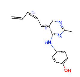 C=C/C=C\C=C1/CN=C(C)N=C1Nc1ccc(O)cc1